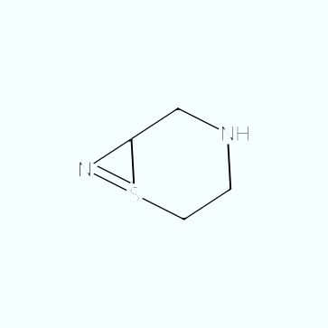 C1CS2=NC2CN1